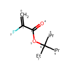 C=C(F)C(=O)OC(CC)(C(C)C)C(C)C